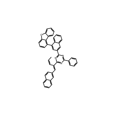 C/C=C\C(=C/c1ccc2ccccc2c1)c1nc(-c2ccccc2)nc(-c2cc(-c3cccc4oc5ccccc5c34)c3ccccc3c2)n1